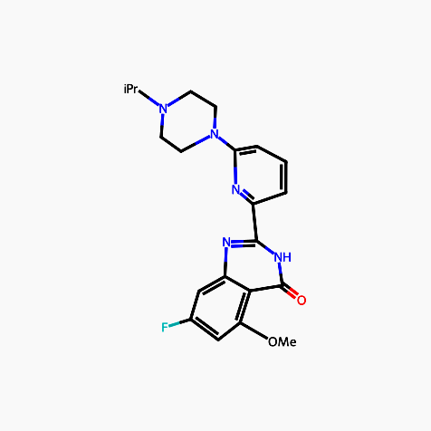 COc1cc(F)cc2nc(-c3cccc(N4CCN(C(C)C)CC4)n3)[nH]c(=O)c12